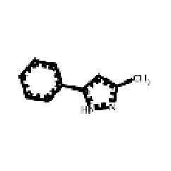 Cc1cc(-c2c[c]ccc2)[nH]n1